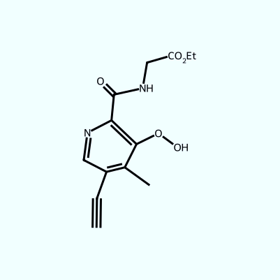 C#Cc1cnc(C(=O)NCC(=O)OCC)c(OO)c1C